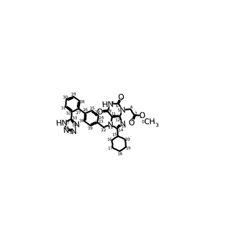 COC(=O)Cn1c(=O)[nH]c(=O)c2c1nc(C1CCCCC1)n2Cc1ccc(-c2ccccc2-c2nnn[nH]2)cc1